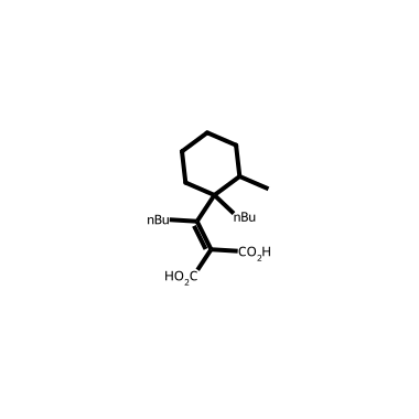 CCCCC(=C(C(=O)O)C(=O)O)C1(CCCC)CCCCC1C